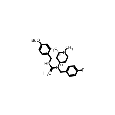 C=C(NCc1ccc(OCC(C)C)cc1)N(Cc1ccc(F)cc1)[C@@H]1CCN(C)[C@@H](C(F)(F)F)C1